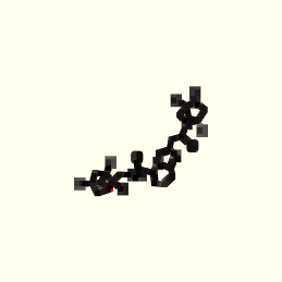 CC1(C)[C@@H]2CC[C@@H](CNC(=O)c3cccc4nc(CC(=O)N5C[C@H]6C[C@H]5CN6)cn34)[C@H]1C2